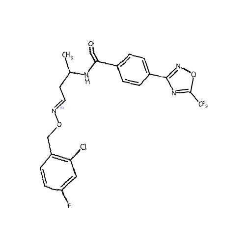 CC(C/C=N/OCc1ccc(F)cc1Cl)NC(=O)c1ccc(-c2noc(C(F)(F)F)n2)cc1